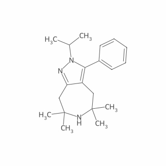 CC(C)n1nc2c(c1-c1ccccc1)CC(C)(C)NC(C)(C)C2